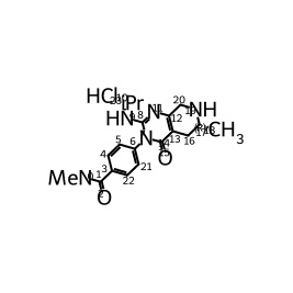 CNC(=O)c1ccc(-n2c(NC(C)C)nc3c(c2=O)C[C@@H](C)NC3)cc1.Cl